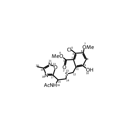 COC(=O)c1c(Cl)c(OC)cc(O)c1CSCC(NC(C)=O)c1nc(C)no1